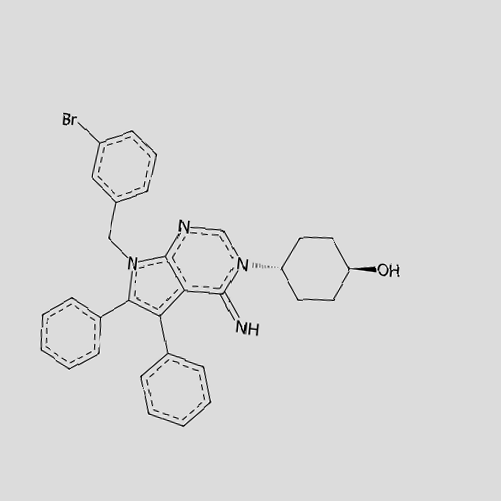 N=c1c2c(-c3ccccc3)c(-c3ccccc3)n(Cc3cccc(Br)c3)c2ncn1[C@H]1CC[C@H](O)CC1